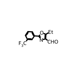 CCc1oc(-c2cccc(C(F)(F)F)c2)nc1C=O